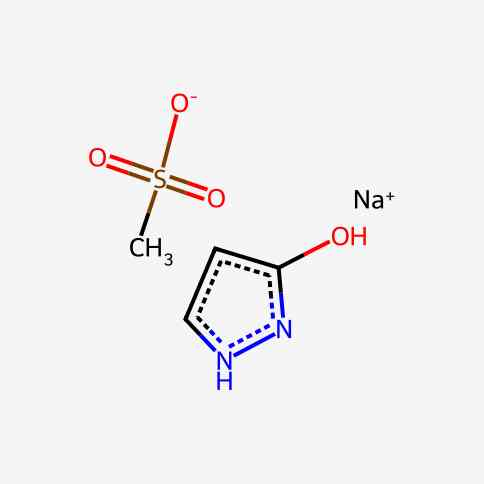 CS(=O)(=O)[O-].Oc1cc[nH]n1.[Na+]